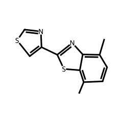 Cc1ccc(C)c2sc(-c3cscn3)nc12